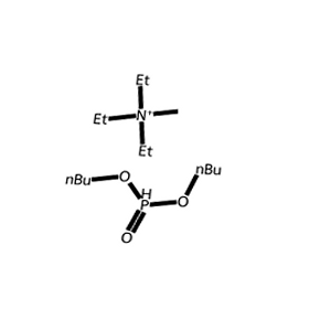 CCCCO[PH](=O)OCCCC.CC[N+](C)(CC)CC